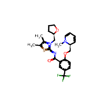 Cc1sc(=NC(=O)c2cc(C(F)(F)F)ccc2OC[C@@H]2C=CC=CN2C)n(C[C@H]2CCCO2)c1C